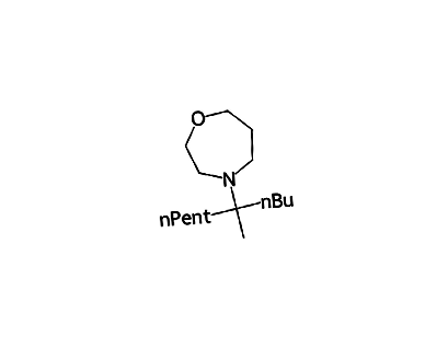 CCCCCC(C)(CCCC)N1CCCOCC1